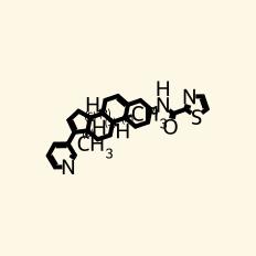 C[C@]12CC[C@@H](NC(=O)c3nccs3)CC1=CC[C@@H]1[C@@H]2CC[C@]2(C)C(c3cccnc3)=CC[C@@H]12